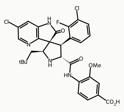 COc1cc(C(=O)O)ccc1NC(=O)[C@@H]1N[C@@H](CC(C)(C)C)[C@@]2(C(=O)Nc3cc(Cl)cnc32)[C@H]1c1cccc(Cl)c1F